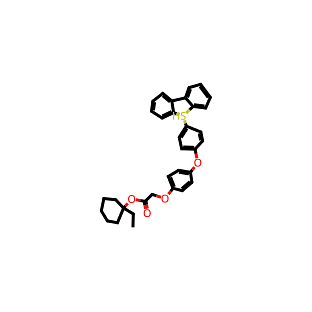 CCC1(OC(=O)COc2ccc(Oc3ccc([SH]4c5ccccc5-c5ccccc54)cc3)cc2)CCCCC1